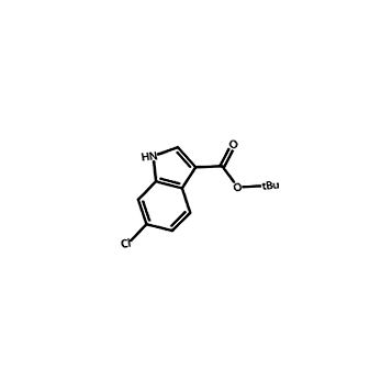 CC(C)(C)OC(=O)c1c[nH]c2cc(Cl)ccc12